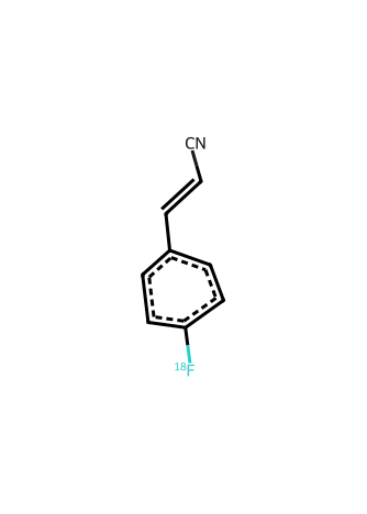 N#CC=Cc1ccc([18F])cc1